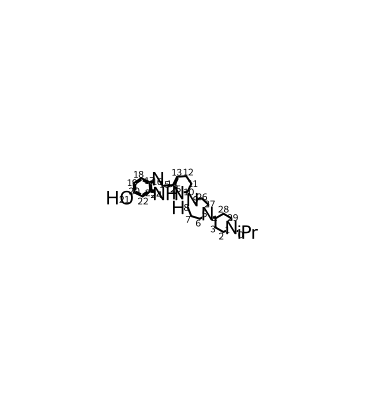 CC(C)N1CCC(N2CCCN(C3CCC=C(c4nc5ccc(O)cc5[nH]4)N3)CC2)CC1